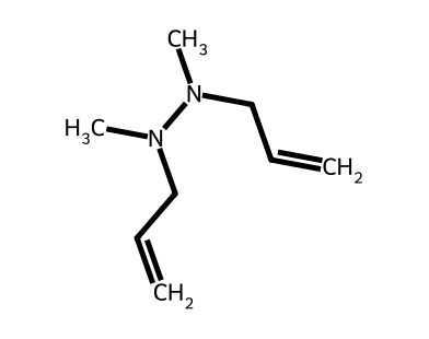 C=CCN(C)N(C)CC=C